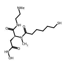 CNCCNC(=O)[C@H](CC(=O)NO)N(C)C(=O)CCCCCS